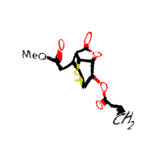 C=CC(=O)OC1C2OC(=O)C3C(CC(=O)OC)C1SC23